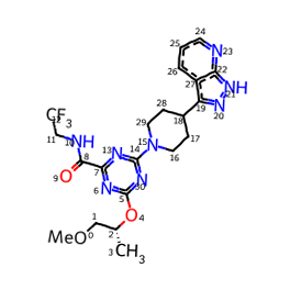 COC[C@@H](C)Oc1nc(C(=O)NCC(F)(F)F)nc(N2CCC(c3n[nH]c4ncccc34)CC2)n1